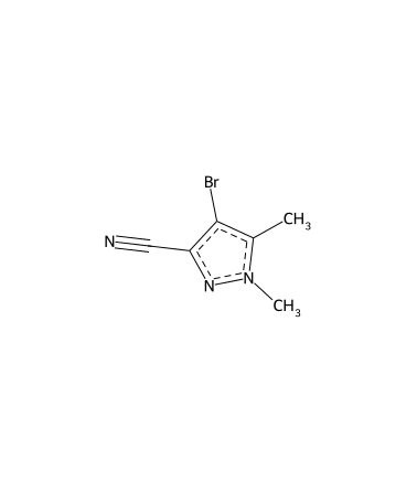 Cc1c(Br)c(C#N)nn1C